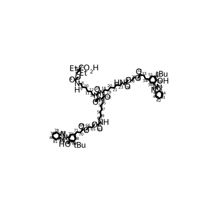 CCC(CC)(COC(=O)NCCCCCCn1c(=O)n(CCCCCCNC(=O)OCCOC(=O)CCc2cc(-n3nc4ccccc4n3)c(O)c(C(C)(C)C)c2)c(=O)n(CCCCCCNC(=O)OCCOC(=O)CCc2cc(-n3nc4ccccc4n3)c(O)c(C(C)(C)C)c2)c1=O)C(=O)O